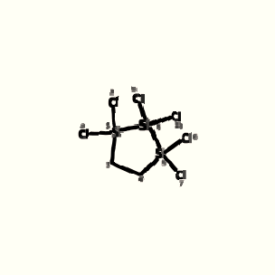 Cl[Si]1(Cl)CC[Si](Cl)(Cl)[Si]1(Cl)Cl